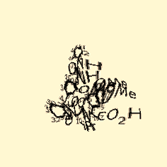 COc1cc(CN2C(=O)N([C@@H](CC(C)C)C(=O)NC(CC(=O)O)c3ccc(OC)c(OC)c3)C(=O)C23CCCCC3)ccc1NC(=O)Nc1ccccc1C